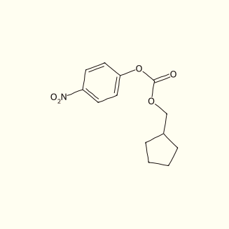 O=C(OCC1CCCC1)Oc1ccc([N+](=O)[O-])cc1